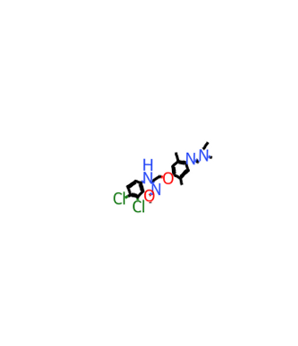 CCN(C)C=Nc1cc(C)c(OCC(=NOC)Nc2ccc(Cl)c(Cl)c2)cc1C